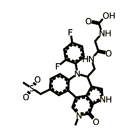 Cn1cc2c3c(c[nH]c3c1=O)C(CNC(=O)CNC(=O)O)N(c1ccc(F)cc1F)c1ccc(CS(C)(=O)=O)cc1-2